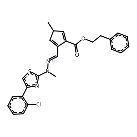 CC1C=C(/C=N/N(C)c2nc(-c3ccccc3Cl)cs2)C(C(=O)OCCc2ccccc2)=C1